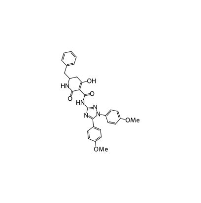 COc1ccc(-c2nc(NC(=O)C3=C(O)CC(Cc4ccccc4)NC3=O)nn2-c2ccc(OC)cc2)cc1